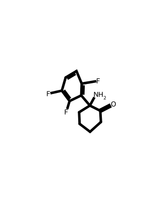 NC1(c2c(F)ccc(F)c2F)CCCCC1=O